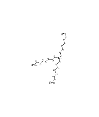 CC(C)CCCCCCCN(CCCCCCCC(C)C)CCCCCCCC(C)C